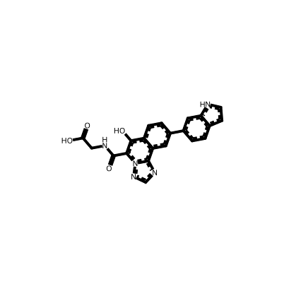 O=C(O)CNC(=O)c1c(O)c2ccc(-c3ccc4cc[nH]c4c3)cc2c2ncnn12